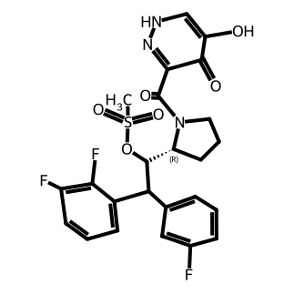 CS(=O)(=O)OC(C(c1cccc(F)c1)c1cccc(F)c1F)[C@H]1CCCN1C(=O)c1n[nH]cc(O)c1=O